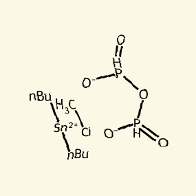 CCC[CH2][Sn+2][CH2]CCC.CCl.O=[PH]([O-])O[PH](=O)[O-]